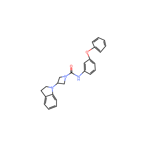 O=C(Nc1cccc(Oc2ccccc2)c1)N1CC(N2CCc3ccccc32)C1